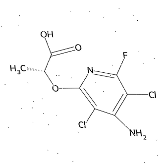 C[C@@H](Oc1nc(F)c(Cl)c(N)c1Cl)C(=O)O